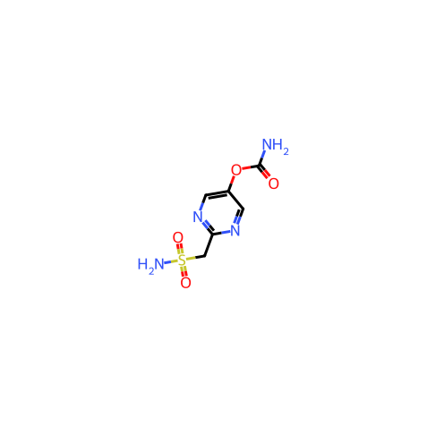 NC(=O)Oc1cnc(CS(N)(=O)=O)nc1